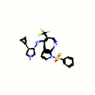 O=S(=O)(c1ccccc1)n1ccc2c(N[C@H]3CNC[C@H]3C3CC3)c(C(F)(F)F)cnc21